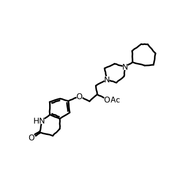 CC(=O)OC(COc1ccc2c(c1)CCC(=O)N2)CN1CCN(C2CCCCCC2)CC1